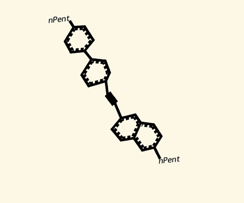 CCCCCc1ccc(-c2ccc(C#Cc3ccc4cc(CCCCC)ccc4c3)cc2)cc1